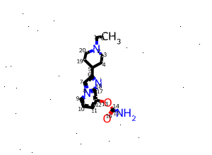 CCN1CCC(c2cn3cccc(OC(N)=O)c3n2)CC1